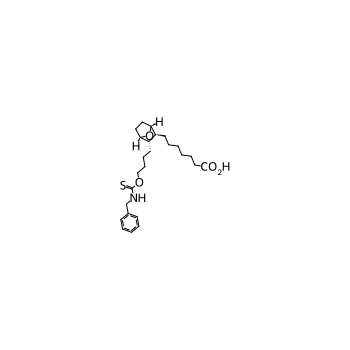 O=C(O)CCCCCC[C@H]1[C@H](CCCCOC(=S)NCc2ccccc2)[C@@H]2CC[C@H]1O2